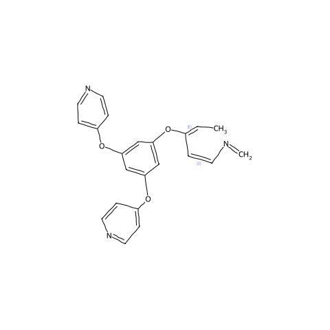 C=N/C=C\C(=C/C)Oc1cc(Oc2ccncc2)cc(Oc2ccncc2)c1